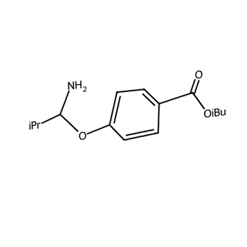 CC(C)COC(=O)c1ccc(OC(N)C(C)C)cc1